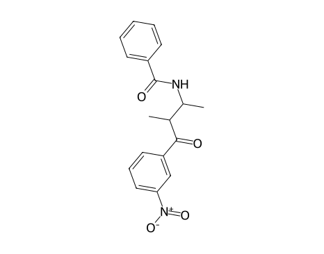 CC(NC(=O)c1ccccc1)C(C)C(=O)c1cccc([N+](=O)[O-])c1